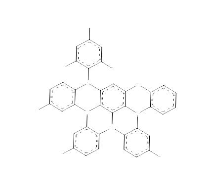 Fc1cc(F)c(N2c3ccc(F)cc3B3c4cc(F)ccc4N4c5ccc(F)cc5B5c6ccccc6Sc6cc2c3c4c65)c(F)c1